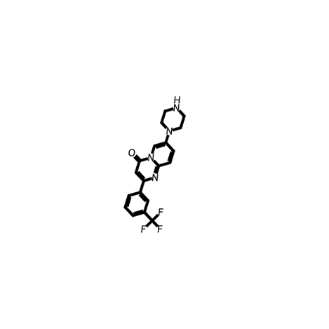 O=c1cc(-c2cccc(C(F)(F)F)c2)nc2ccc(N3CCNCC3)cn12